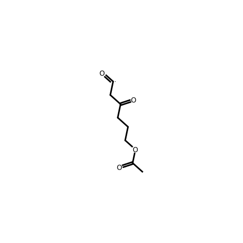 CC(=O)OCCCC(=O)C[C]=O